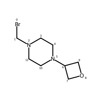 BrCN1CCN(C2COC2)CC1